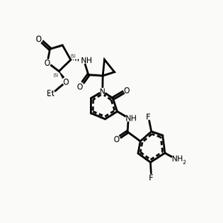 CCO[C@H]1OC(=O)C[C@@H]1NC(=O)C1(n2cccc(NC(=O)c3cc(F)c(N)cc3F)c2=O)CC1